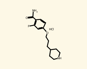 Cl.NC(=O)c1ccc(OCCCC2CCNCC2)cc1F